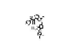 Cc1cc(CN2Cc3c(ccnc3NC(=O)C3CCOCC3)C2=O)ccc1OCC(F)(F)F